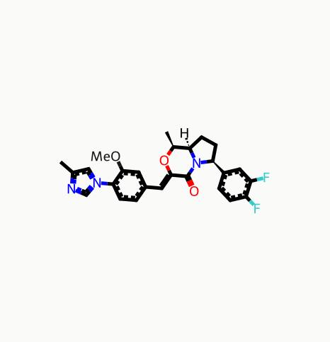 COc1cc(C=C2O[C@@H](C)[C@H]3CC[C@@H](c4ccc(F)c(F)c4)N3C2=O)ccc1-n1cnc(C)c1